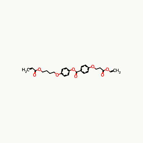 C=COC(=O)CCOc1ccc(C(=O)Oc2ccc(OCCCCOC(=O)C=C)cc2)cc1